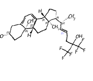 C[C@H](/C=C/CC(O)(C(F)(F)F)C(F)(F)F)[C@H]1CC[C@H]2C3=CC=C4C[C@@H](O)CC[C@]4(C)[C@H]3CC[C@]12C